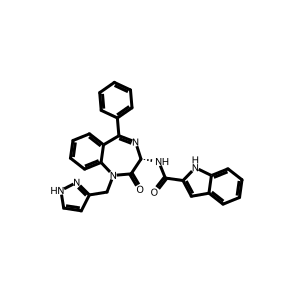 O=C(N[C@H]1N=C(c2ccccc2)c2ccccc2N(Cc2cc[nH]n2)C1=O)c1cc2ccccc2[nH]1